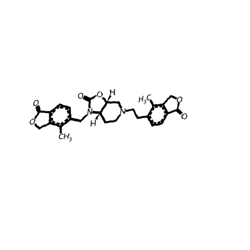 Cc1c(CCN2CC[C@H]3[C@@H](C2)OC(=O)N3Cc2ccc3c(c2C)COC3=O)ccc2c1COC2=O